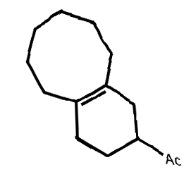 CC(=O)C1CCC2=C(CCCCCC2)C1